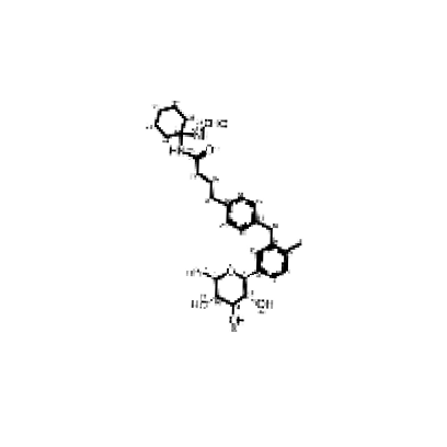 CCC[C@H]1O[C@@H](c2ccc(C)c(Cc3ccc(CCCC(=O)NC4(NC=O)CCCCC4)cc3)c2)[C@H](O)[C@@H](O)[C@@H]1O